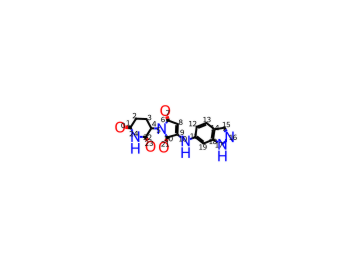 O=C1CCC(N2C(=O)C=C(Nc3ccc4cn[nH]c4c3)C2=O)C(=O)N1